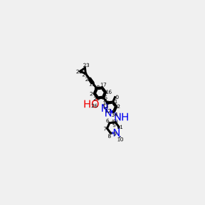 Cc1cc(N[C@@H]2CCCN(C)C2)nnc1-c1ccc(C#CC2CC2)cc1O